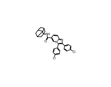 O=C(NC12CC3CC(CC(C3)C1)C2)c1ccc2nc(-c3ccc(Cl)cc3)c(-c3ccc(Cl)cc3)n2c1